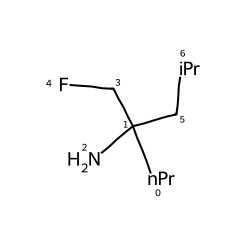 CCCC(N)(CF)CC(C)C